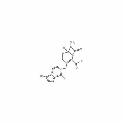 Cc1c2ccc(Br)[n+]-2ccn1CC1=C(C(=O)[O-])N2C(=O)C(N)[C@H]2SC1